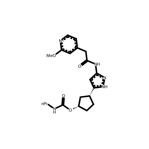 CCCNC(=O)O[C@H]1CC[C@@H](c2cc(NC(=O)Cc3ccnc(OC)c3)n[nH]2)C1